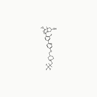 COC(=O)C1(C)CC(O)CN1C(=O)c1ccc(-c2ccc(OCC3CCN(CC(C)(C)C(F)(F)F)CC3)cn2)cc1F